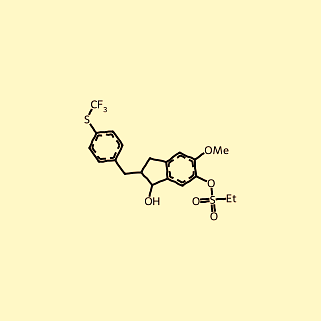 CCS(=O)(=O)Oc1cc2c(cc1OC)CC(Cc1ccc(SC(F)(F)F)cc1)C2O